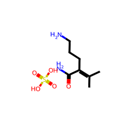 CC(C)=C(CCCN)C(N)=O.O=S(=O)(O)O